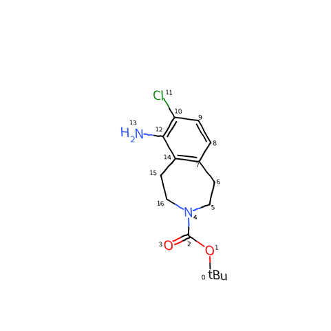 CC(C)(C)OC(=O)N1CCc2ccc(Cl)c(N)c2CC1